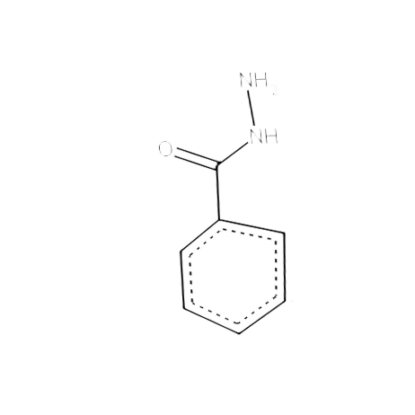 NNC(=O)c1c[c]ccc1